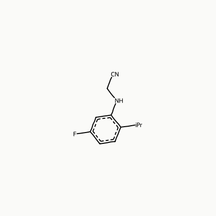 CC(C)c1ccc(F)cc1NCC#N